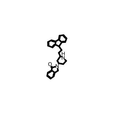 O=C1c2ccccc2CN1C1CCNC(CCC2c3ccccc3-c3ccccc32)C1